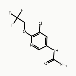 NC(=O)Nc1cnc(OCC(F)(F)F)c(Cl)c1